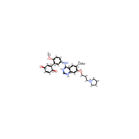 CCOc1ccc(Nc2ncnc3cc(OCCCN4CCCC4)c(OC)cc23)cc1C1=CC(=O)C=CC1=O